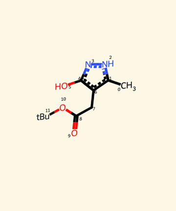 Cc1[nH]nc(O)c1CC(=O)OC(C)(C)C